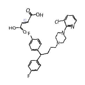 Fc1ccc(C(CCCN2CCN(c3ncccc3Cl)CC2)c2ccc(F)cc2)cc1.O=C(O)/C=C/C(=O)O